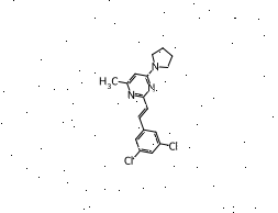 Cc1cc(N2CCCC2)nc(C=Cc2cc(Cl)cc(Cl)c2)n1